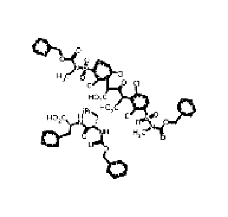 CC(C)C[C@H](NC(=O)OCc1ccccc1)C(=O)N[C@@H](Cc1ccccc1)C(=O)O.CN(C(=O)OCc1ccccc1)S(=O)(=O)c1ccc(Cl)c(C(C(=O)O)C(=O)C(C(=O)O)c2c(Cl)ccc(S(=O)(=O)N(C)C(=O)OCc3ccccc3)c2Cl)c1Cl